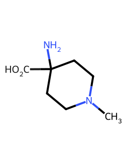 CN1CCC(N)(C(=O)O)CC1